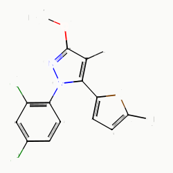 CCc1c(OC(=O)O)nn(-c2ccc(Cl)cc2Cl)c1-c1ccc(C)s1